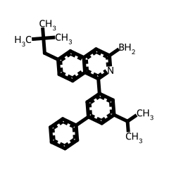 Bc1cc2cc(CC(C)(C)C)ccc2c(-c2cc(-c3ccccc3)cc(C(C)C)c2)n1